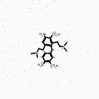 CN(C)CCc1cc(N)c(C(=O)O)c(CCN(C)C)c1Cc1ccc(N)c(C(=O)O)c1